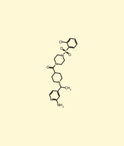 CC(c1ccnc(N)c1)N1CCC(C(=O)N2CCN(S(=O)(=O)c3ccccc3Cl)CC2)CC1